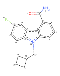 NC(=O)c1cccc2c1c1[c]c(F)ccc1n2CC1CCC1